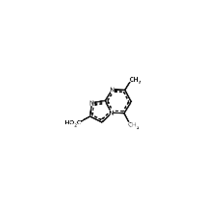 Cc1cc(C)n2cc(C(=O)O)nc2n1